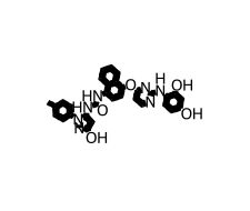 Cc1ccc(-n2nc(O)cc2NC(=O)Nc2ccc(Oc3ccnc(Nc4ccc(O)cc4O)n3)c3ccccc23)cc1